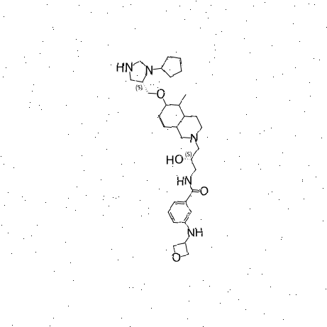 CC1C(OC[C@@H]2CNCN2C2CCCC2)CCC2CN(C[C@@H](O)CNC(=O)c3cccc(NC4COC4)c3)CCC21